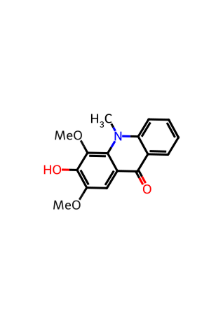 COc1cc2c(=O)c3ccccc3n(C)c2c(OC)c1O